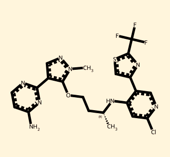 C[C@H](CCOc1c(-c2nccc(N)n2)cnn1C)Nc1cc(Cl)ncc1-c1csc(C(F)(F)F)n1